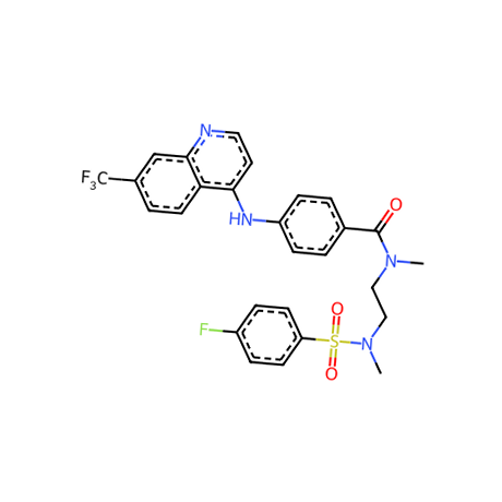 CN(CCN(C)S(=O)(=O)c1ccc(F)cc1)C(=O)c1ccc(Nc2ccnc3cc(C(F)(F)F)ccc23)cc1